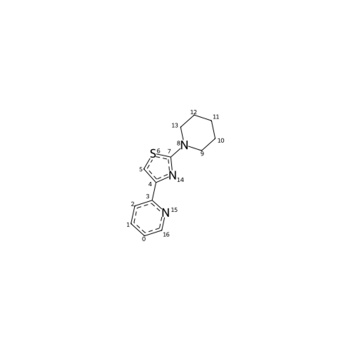 c1ccc(-c2csc(N3CCCCC3)n2)nc1